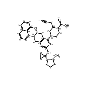 CN1CCC[C@H]1C1(Oc2nc3c(c(N4CCN(C(=O)O)C(CC#N)C4)n2)CCN(c2cccc4cccc(Cl)c24)C3)CC1